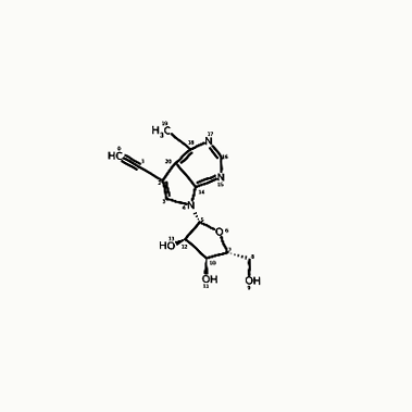 C#Cc1cn([C@@H]2O[C@H](CO)[C@@H](O)[C@H]2O)c2ncnc(C)c12